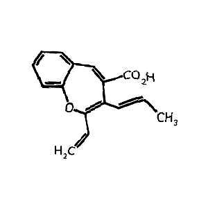 C=CC1=C(C=CC)C(C(=O)O)=Cc2ccccc2O1